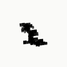 COc1ccc(/C=C/C(=O)c2c(O)cc(O[C@H]3CC(O)[C@H](O)C(COC(C)CC(C)C(O)C(O)CO)O3)cc2OC)cc1O